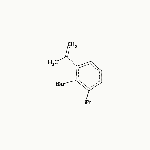 C=C(C)c1cccc([C](C)C)c1C(C)(C)C